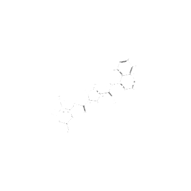 CC(C)C[C@H](NC(=O)C1CC(C(=O)Nc2cccc3ccccc23)=NO1)B(O)O